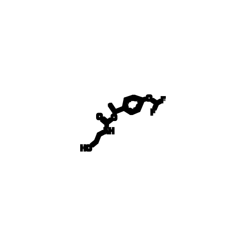 CC(OC(=O)NCCO)c1ccc(OC(F)F)cc1